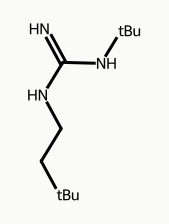 CC(C)(C)CCNC(=N)NC(C)(C)C